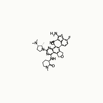 C[C@H]1[C@@H](N(C)C)CCN1c1nc(N[C@@H]2CCCN(C)C2=O)c2c3c(c(-c4ccc(F)c5sc(N)c(C#N)c45)c(Cl)c2n1)COC3